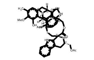 COc1c(C)cc2c(c1O)[C@H]1[C@@H]3[C@@H]4SC[C@]5(N[C@H](COC(C)=O)Cc6c5[nH]c5ccccc65)C(=O)OC[C@@H](c5c6c(c(C)c(OC(C)=O)c54)OCO6)N3C(C#N)[C@@H](C2)N1C